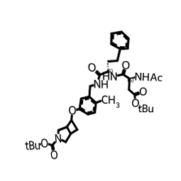 CC(=O)N[C@@H](CC(=O)OC(C)(C)C)C(=O)N[C@@H](CCc1ccccc1)C(=O)NCc1cc(OC2CC3CN(C(=O)OC(C)(C)C)CC32)ccc1C